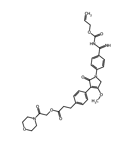 C=CCOC(=O)NC(=N)c1ccc(N2CC(OC)=C(c3ccc(CCC(=O)OCC(=O)N4CCOCC4)cc3)C2=O)cc1